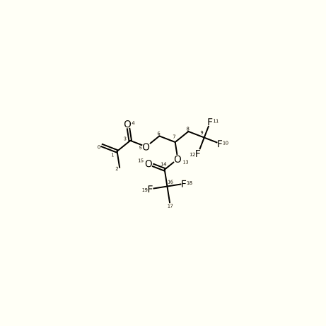 C=C(C)C(=O)OCC(CC(F)(F)F)OC(=O)C(C)(F)F